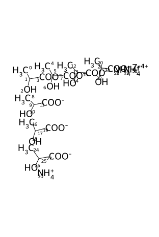 CC(O)C(=O)[O-].CC(O)C(=O)[O-].CC(O)C(=O)[O-].CC(O)C(=O)[O-].CC(O)C(=O)[O-].CC(O)C(=O)[O-].CC(O)C(=O)[O-].[NH4+].[NH4+].[NH4+].[Zr+4]